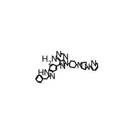 Nc1ncnc2c1c(-c1ccc3[nH]c(Cc4ccccc4)nc3c1)nn2C1CCC(N2CCN(c3ccccn3)CC2)CC1